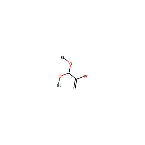 C=C(Br)C(OCC)OCC